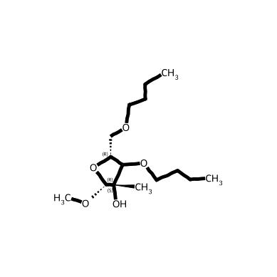 CCCCOC[C@H]1O[C@@H](OC)[C@@](C)(O)C1OCCCC